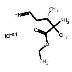 CCOC(=O)C(C)(N)[C@@H](C)CC=N.Cl.Cl